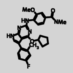 CNC(=O)c1ccc(Nc2nc(OC3CCCC3)c3c(-c4ccc(F)cc4C)c[nH]c3n2)c(OC)c1